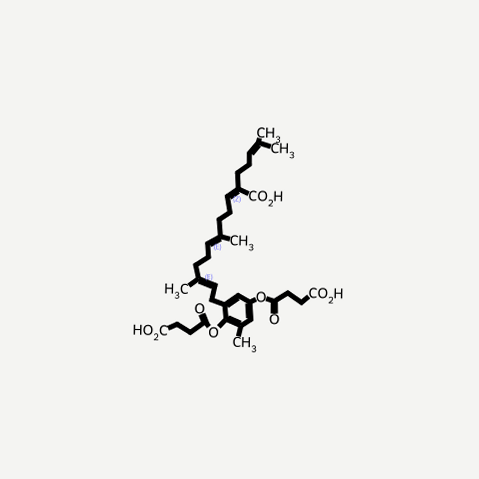 CC(C)=CCC/C(=C/CC/C(C)=C/CC/C(C)=C/Cc1cc(OC(=O)CCC(=O)O)cc(C)c1OC(=O)CCC(=O)O)C(=O)O